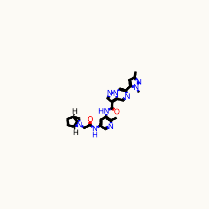 Cc1cc(-c2cn3ncc(C(=O)Nc4cc(NC(=O)CN5C[C@H]6CC[C@@H]5C6)cnc4C)c3cn2)n(C)n1